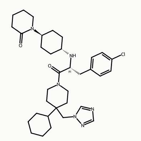 O=C([C@@H](Cc1ccc(Cl)cc1)N[C@H]1CC[C@H](N2CCCCC2=O)CC1)N1CCC(Cn2cncn2)(C2CCCCC2)CC1